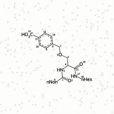 CCCCCCCCCC(=O)NC(COCc1ccc(C(=O)O)cc1)C(=O)NCCCCCC